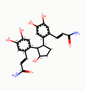 NC(=O)/C=C/c1cc(O)c(O)cc1C1CCC(O)C1c1cc(O)c(O)cc1/C=C/C(N)=O